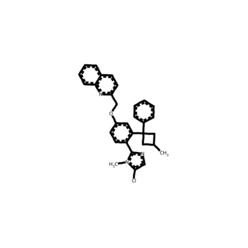 CC1CC(c2ccccc2)(c2cc(OCc3ccc4ccccc4n3)ccc2-c2ncc(Cl)n2C)C1